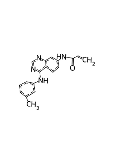 C=CC(=O)Nc1ccc2c(Nc3cccc(C)c3)ncnc2c1